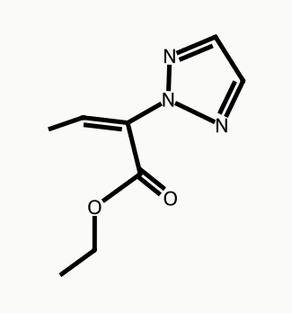 C/C=C(\C(=O)OCC)n1nccn1